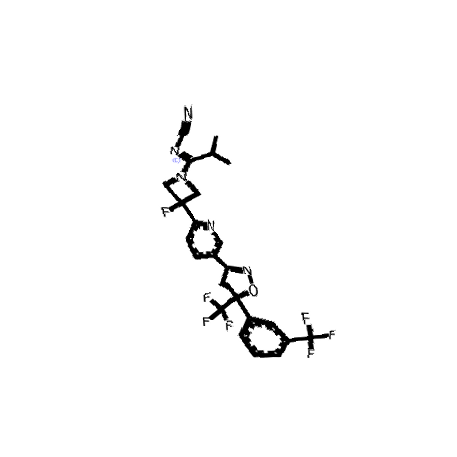 CC(C)/C(=N\C#N)N1CC(F)(c2ccc(C3=NOC(c4cccc(C(F)(F)F)c4)(C(F)(F)F)C3)cn2)C1